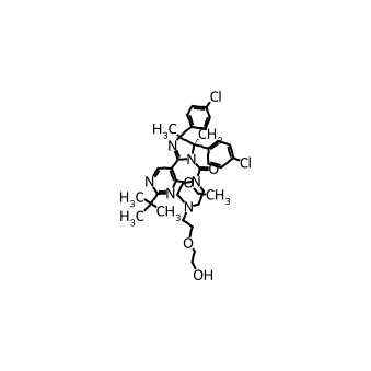 CCOc1nc(C(C)(C)C)ncc1C1=N[C@](C)(c2ccc(Cl)cc2)[C@@](C)(c2ccc(Cl)cc2)N1C(=O)N1CCN(CCOCCO)CC1